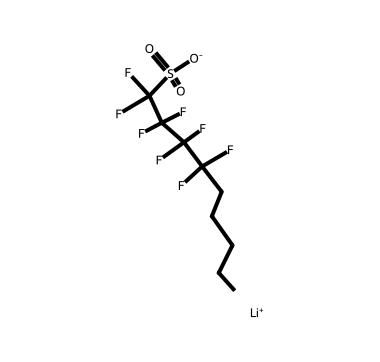 CCCCCC(F)(F)C(F)(F)C(F)(F)C(F)(F)S(=O)(=O)[O-].[Li+]